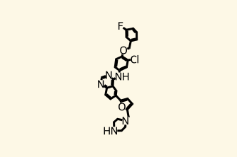 Fc1cccc(COc2ccc(Nc3ncnc4ccc(-c5ccc(CN6CCNCC6)o5)cc34)cc2Cl)c1